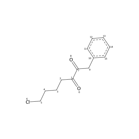 O=C(CCCCCl)C(=O)Cc1ccccc1